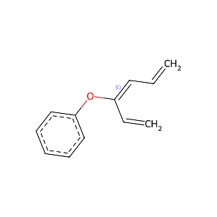 C=C/C=C(\C=C)Oc1ccccc1